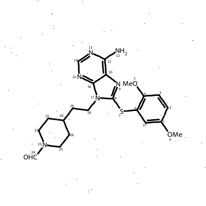 COc1ccc(OC)c(Sc2nc3c(N)ncnc3n2CCC2CCN(C=O)CC2)c1